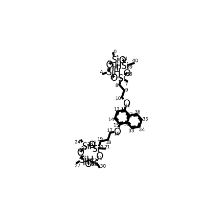 C[SiH]1O[SiH](C)O[Si](C)(CCCOc2ccc(OCCC[Si]3(C)O[SiH](C)O[SiH](C)O[SiH](C)O3)c3ccccc23)O[SiH](C)O1